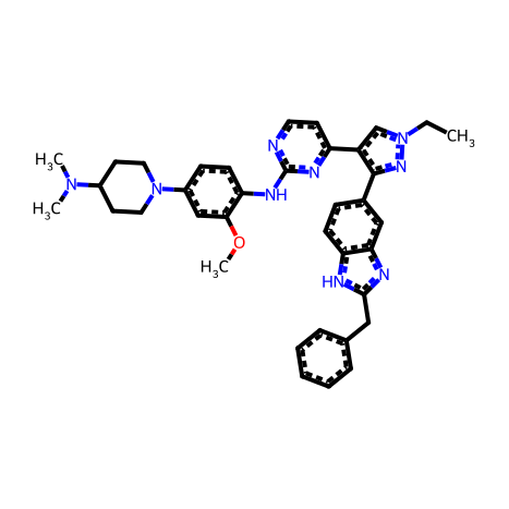 CCn1cc(-c2ccnc(Nc3ccc(N4CCC(N(C)C)CC4)cc3OC)n2)c(-c2ccc3[nH]c(Cc4ccccc4)nc3c2)n1